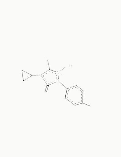 Cc1c(C2CC2)c(=O)n(-c2ccc(F)cc2)n1C